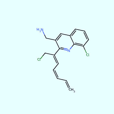 C=C/C=C\C=C(/CCl)c1nc2c(Cl)cccc2cc1CN